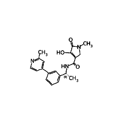 Cc1cc(-c2cccc([C@@H](C)NC(=O)C3=C(O)C(=O)N(C)C3)c2)ccn1